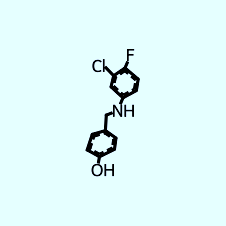 Oc1ccc(CNc2ccc(F)c(Cl)c2)cc1